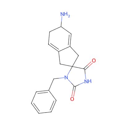 NC1C=C2CC3(CC2=CC1)C(=O)NC(=O)N3Cc1ccccc1